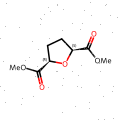 COC(=O)[C@@H]1CC[C@H](C(=O)OC)O1